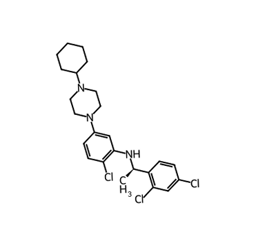 C[C@@H](Nc1cc(N2CCN(C3CCCCC3)CC2)ccc1Cl)c1ccc(Cl)cc1Cl